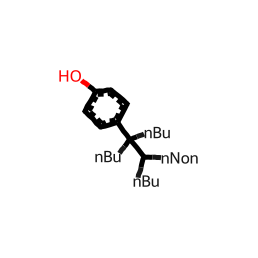 CCCCCCCCCC(CCCC)C(CCCC)(CCCC)c1ccc(O)cc1